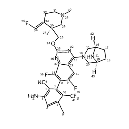 Cc1cc(N)c(C#N)c(-c2c(F)cc3c(N4C[C@H]5CC[C@@H](C4)N5)nc(OC[C@]4(C)CN(C)CC/C4=C\F)nc3c2F)c1C(F)(F)F